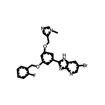 Cn1cncc1COc1cc(OCc2ccccc2F)cc(-c2nc3ncc(Br)cc3[nH]2)c1